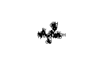 COC(=O)CC[C@H](NCc1cc(Br)cc(C2(C(F)(F)F)N=N2)c1)C(=O)N[C@@H](Cc1ccc(C(F)(F)P(=O)(O)O)cc1)C(=O)N[C@@H](Cc1ccc(C(F)(F)P(=O)(O)O)cc1)C(C)=O